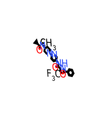 CN(C(=O)C1CC1)C1CCN(c2ccc(NC(=O)c3nc(-c4ccccc4)oc3C(F)(F)F)cn2)CC1